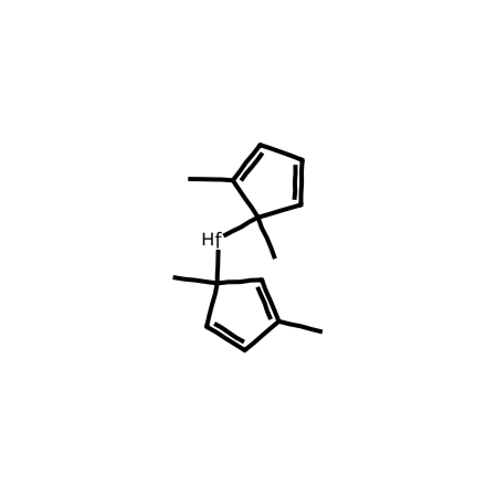 CC1=C[C](C)([Hf][C]2(C)C=CC=C2C)C=C1